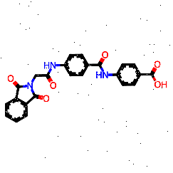 O=C(CN1C(=O)c2ccccc2C1=O)Nc1ccc(C(=O)Nc2ccc(C(=O)O)cc2)cc1